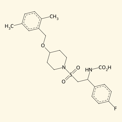 Cc1ccc(C)c(COC2CCN(S(=O)(=O)CC(NC(=O)O)c3ccc(F)cc3)CC2)c1